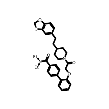 CCN(CC)C(=O)c1ccc(-c2ccccc2OCC(=O)N2CCC(CCc3ccc4c(c3)OCO4)CC2)cc1